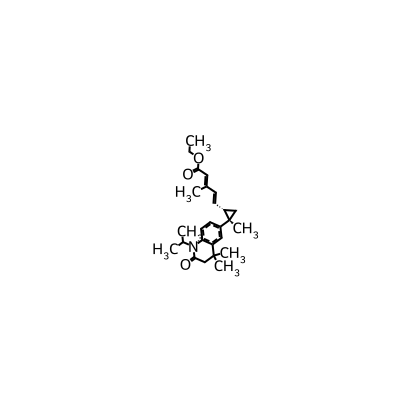 CCOC(=O)/C=C(C)/C=C/[C@@H]1C[C@]1(C)c1ccc2c(c1)C(C)(C)CC(=O)N2C(C)C